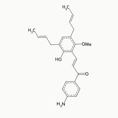 C/C=C/Cc1cc(C/C=C/C)c(OC)c(/C=C/C(=O)c2ccc(N)cc2)c1O